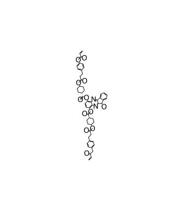 C=CC(=O)Cc1ccc(CCC(=O)O[C@H]2CC[C@H](C(=O)Oc3ccc(OC(=O)[C@H]4CC[C@H](OC(=O)CCc5ccc(OC(=O)C=C)cc5)CC4)c4nc5c(nc34)C(=O)c3ccccc3-5)CC2)cc1